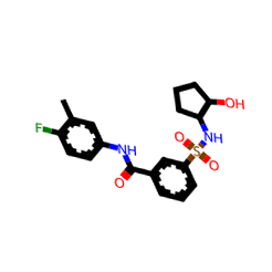 Cc1cc(NC(=O)c2cccc(S(=O)(=O)NC3CCCC3O)c2)ccc1F